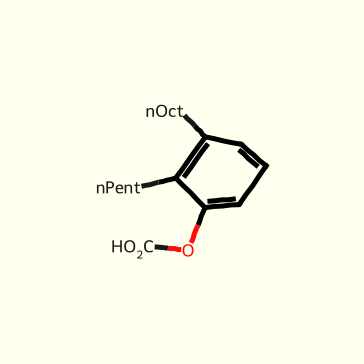 CCCCCCCCc1cccc(OC(=O)O)c1CCCCC